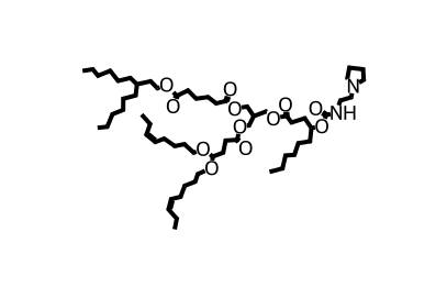 CC/C=C\CCCCOC(CCC(=O)OCC(COC(=O)CCCCC(=O)OCCC(CCCCCC)CCCCCC)COC(=O)CCC(CCCCCC)OC(=O)NCCN1CCCC1)OCCCC/C=C\CC